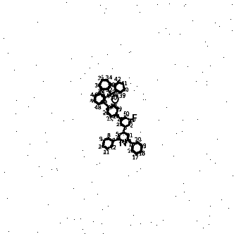 Fc1cc(-c2cc(-c3ccccc3)nc(-c3ccccc3)c2)cc(-c2ccc3c(c2)OC(c2ccccc2)(c2ccccc2)c2ccccc2-3)c1